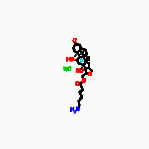 C[C@@H]1C[C@H]2[C@@H]3CCC4=CC(=O)C=C[C@]4(C)[C@@]3(F)[C@@H](O)C[C@]2(C)[C@@]1(O)C(=O)COC(=O)CCCCCN.Cl